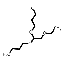 CCCCO[C](COCC)OCCCC